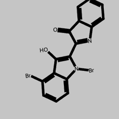 O=C1C(c2c(O)c3c(Br)cccc3n2Br)=Nc2ccccc21